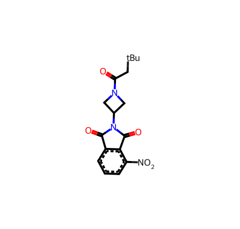 CC(C)(C)CC(=O)N1CC(N2C(=O)c3cccc([N+](=O)[O-])c3C2=O)C1